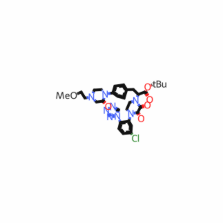 COCCN1CCN(c2ccc(CC(C(=O)OC(C)(C)C)N3CCN(c4cc(Cl)ccc4-n4cnnn4)C(=O)C3=O)cc2)C(=O)C1